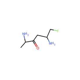 CC(N)C(=O)CC(N)CF